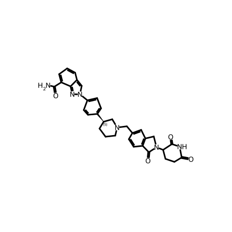 NC(=O)c1cccc2cn(-c3ccc([C@@H]4CCCN(Cc5ccc6c(c5)CN(C5CCC(=O)NC5=O)C6=O)C4)cc3)nc12